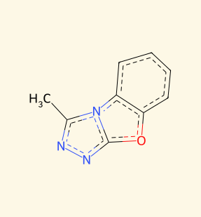 Cc1nnc2oc3ccccc3n12